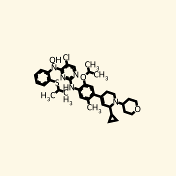 Cc1cc(Nc2ncc(Cl)c(N(O)c3ccccc3SC(C)C)n2)c(OC(C)C)cc1C1=CC(C2CC2)N(C2CCOCC2)CC1